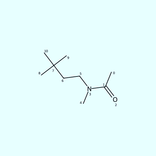 CC(=O)N(C)CCC(C)(C)C